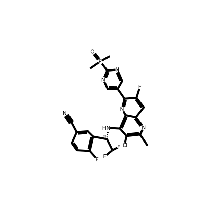 Cc1nc2cc(F)c(-c3cnc(P(C)(C)=O)nc3)nc2c(N[C@@H](c2cc(C#N)ccc2F)C(F)F)c1Cl